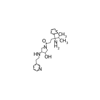 CC(C)C(N)(CCC(=O)N1CC(O)C(NCCc2cccnc2)C1)c1cccs1